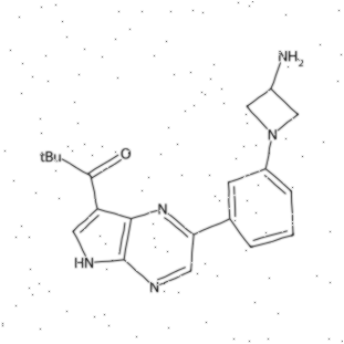 CC(C)(C)C(=O)c1c[nH]c2ncc(-c3cccc(N4CC(N)C4)c3)nc12